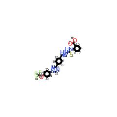 COC(=O)c1ccccc1NC(=S)N/N=C/c1ccc(-c2ncn(-c3ccc(OC(F)(F)F)cc3)n2)cc1